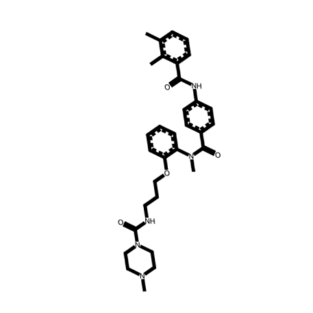 Cc1cccc(C(=O)Nc2ccc(C(=O)N(C)c3ccccc3OCCCNC(=O)N3CCN(C)CC3)cc2)c1C